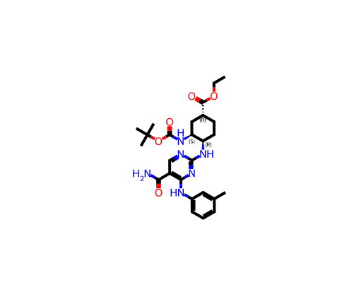 CCOC(=O)[C@@H]1CC[C@@H](Nc2ncc(C(N)=O)c(Nc3cccc(C)c3)n2)[C@@H](NC(=O)OC(C)(C)C)C1